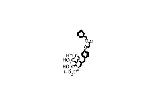 O=C(O)CN(CC(=O)O)CC(Cc1ccc(OCC(=O)OCc2ccccc2)cc1)N(CC(=O)O)CC(=O)O